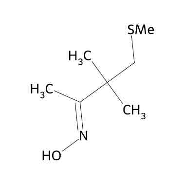 CSCC(C)(C)C(C)=NO